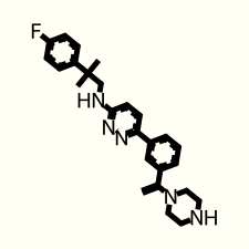 C=C(c1cccc(-c2ccc(NCC(C)(C)c3ccc(F)cc3)nn2)c1)N1CCNCC1